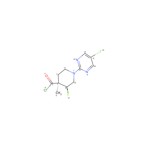 C[C@]1(C(=O)Cl)CCN(c2ncc(F)cn2)C[C@H]1F